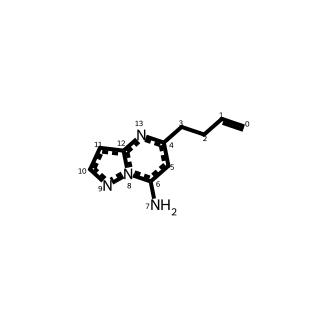 C=CCCc1cc(N)n2nccc2n1